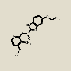 CCOc1ccnc(C[S+]([O-])c2nc3cc(OCC(F)(F)F)ccc3[nH]2)c1C